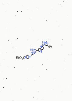 CCOC(=O)N1CCN(CCCN/C=C(\C=N)c2cnc3ccc(Nc4cc(C(C)C)cnn4)nc3c2)CC1